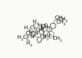 Cc1c2c(c(CC(C)C)c3ccc(CC(C)(C)C)cc13)Oc1cc3cccc(-c4nc(C(C)(C)C)nc(C(C)(C)C)n4)c3c3cc[n+](C)c-2c13